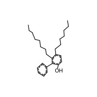 CCCCCCCCc1c(CCCCCCC)ccc(O)c1-c1ccccc1